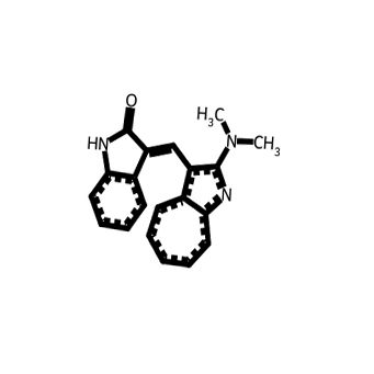 CN(C)c1nc2cccccc-2c1C=C1C(=O)Nc2ccccc21